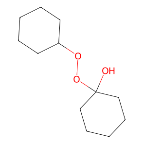 OC1(OOC2CCCCC2)CCCCC1